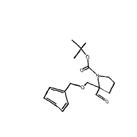 CC(C)(C)OC(=O)N1CCCC1(C=O)COCc1ccccc1